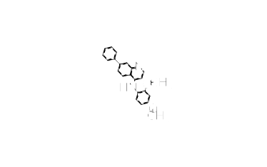 COc1ccc(Nc2ccnc3cc(-c4ccccc4)ccc23)c(OC)c1